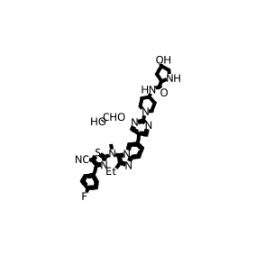 CCc1nc2ccc(-c3cnc(N4CCC(NC(=O)C5CC(O)CN5)CC4)nc3)cn2c1N(C)c1nc(-c2ccc(F)cc2)c(C#N)s1.O=CO